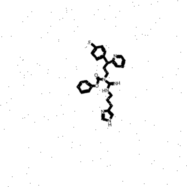 N=C(NCCCc1c[nH]cn1)N(CCC(c1ccc(F)cc1)c1ccccn1)C(=O)Oc1ccccc1